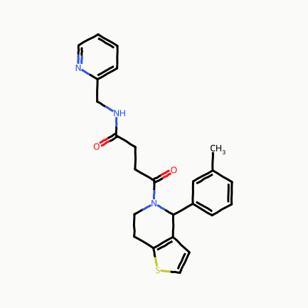 Cc1cccc(C2c3ccsc3CCN2C(=O)CCC(=O)NCc2ccccn2)c1